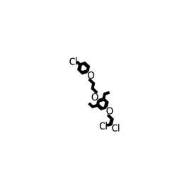 CCc1cc(OCC=C(Cl)Cl)cc(CC)c1OCCCCOc1ccc(Cl)cc1